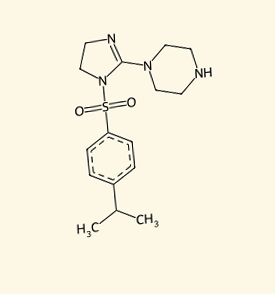 CC(C)c1ccc(S(=O)(=O)N2CCN=C2N2CCNCC2)cc1